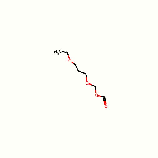 CCOCCCOCO[C]=O